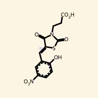 O=C(O)CCN1C(=O)S/C(=C\c2cc([N+](=O)[O-])ccc2O)C1=O